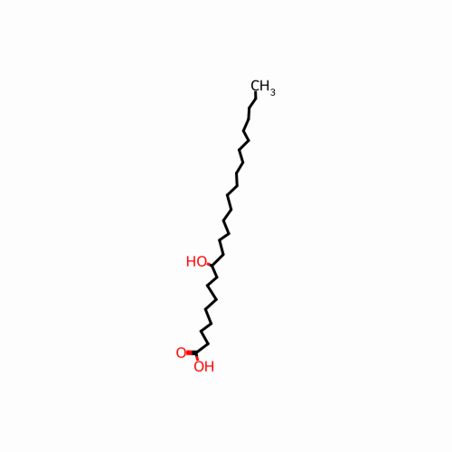 CCCCCCCCCCCCCCCCC(O)CCCCCCCC(=O)O